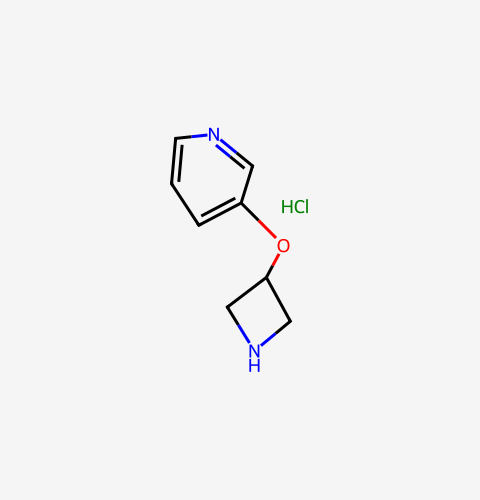 Cl.c1cncc(OC2CNC2)c1